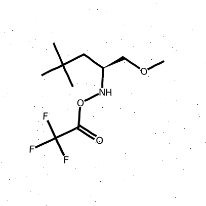 COC[C@H](CC(C)(C)C)NOC(=O)C(F)(F)F